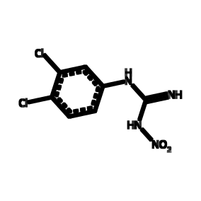 N=C(Nc1ccc(Cl)c(Cl)c1)N[N+](=O)[O-]